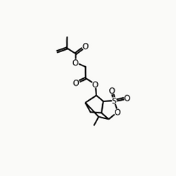 C=C(C)C(=O)OCC(=O)OC1C2CC3C(OS(=O)(=O)C31)C2C